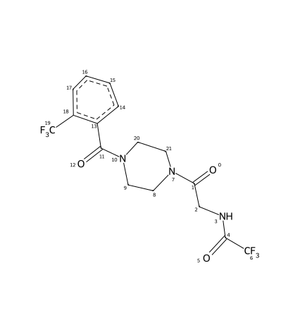 O=C(CNC(=O)C(F)(F)F)N1CCN(C(=O)c2ccccc2C(F)(F)F)CC1